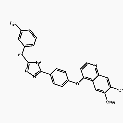 COc1cc2nccc(Oc3ccc(-c4nnc(Nc5cccc(C(F)(F)F)c5)[nH]4)cc3)c2cc1OC